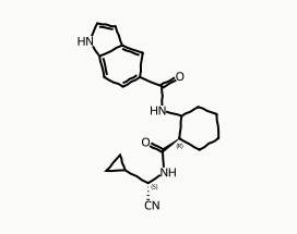 N#C[C@@H](NC(=O)[C@@H]1CCCCC1NC(=O)c1ccc2[nH]ccc2c1)C1CC1